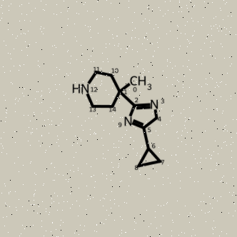 CC1(C2=NCC(C3CC3)=N2)CCNCC1